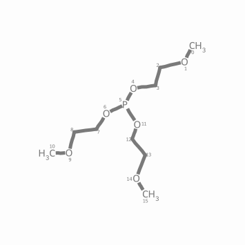 COCCOP(OCCOC)OCCOC